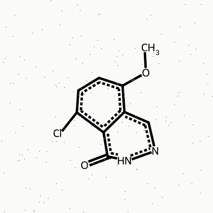 COc1ccc(Cl)c2c(=O)[nH]ncc12